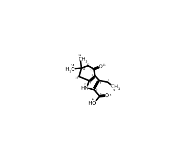 CCc1c(C(=O)O)[nH]c2c1C(=O)CC(C)(C)C2